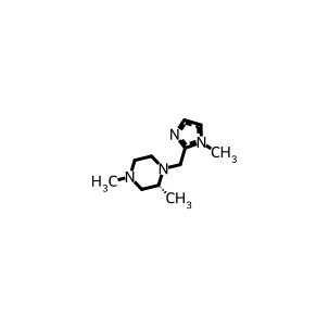 C[C@@H]1CN(C)CCN1Cc1nccn1C